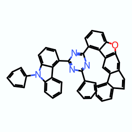 c1ccc(-c2nc(-c3cccc4oc5cc6ccc7ccccc7c6cc5c34)nc(-c3cccc4c3c3ccccc3n4-c3ccccc3)n2)cc1